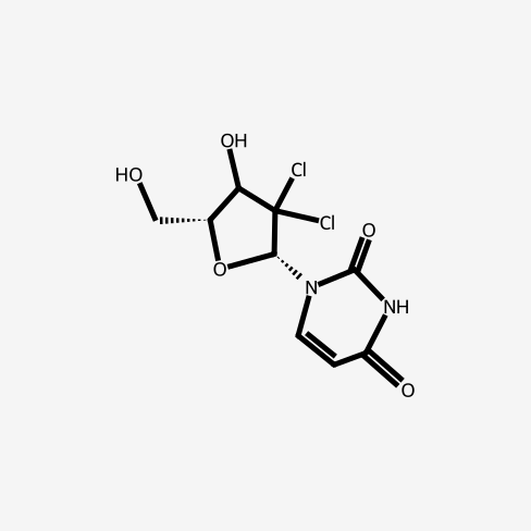 O=c1ccn([C@@H]2O[C@H](CO)C(O)C2(Cl)Cl)c(=O)[nH]1